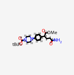 COC(=O)C(CCC(N)=O)c1ccc(N2CCN(C(=O)OC(C)(C)C)CC2)cc1